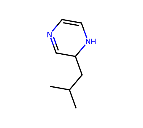 CC(C)CC1C=NC=CN1